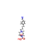 N#Cc1ccc(CCCCN2CC3CN(C(=O)O)CC(C2)O3)cc1